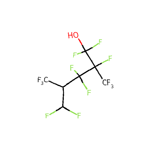 OC(F)(F)C(F)(C(F)(F)F)C(F)(F)C(C(F)F)C(F)(F)F